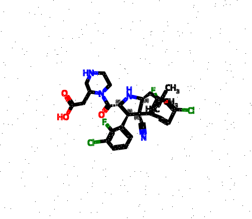 CC(C)(C)C[C@@H]1N[C@@H](C(=O)N2CCNCC2CC(=O)O)[C@H](c2cccc(Cl)c2F)[C@@]1(C#N)c1ccc(Cl)cc1F